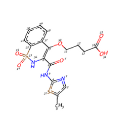 Cc1cnc(NC(=O)C2=C(OCCCC(=O)O)c3ccccc3S(=O)(=O)N2)s1